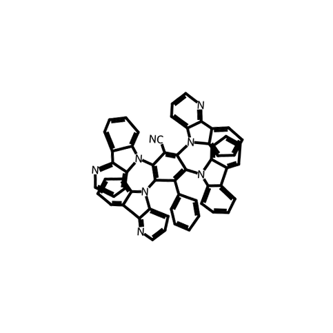 N#Cc1c(-n2c3ccccc3c3ncccc32)c(-n2c3ccccc3c3ccccc32)c(-c2ccccc2)c(-n2c3ccccc3c3ncccc32)c1-n1c2ccccc2c2ncccc21